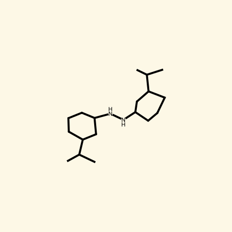 CC(C)C1CCCC(NNC2CCCC(C(C)C)C2)C1